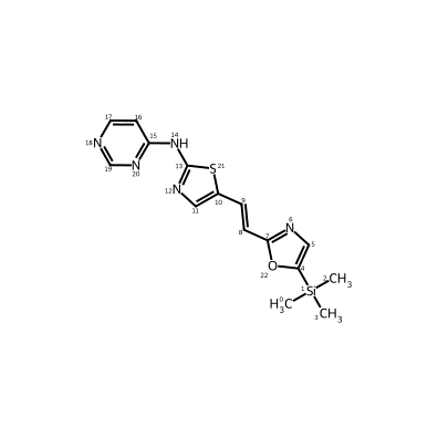 C[Si](C)(C)c1cnc(/C=C/c2cnc(Nc3ccncn3)s2)o1